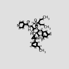 CCCC(CCC)S(=O)(=O)C[C@@H](NC(=O)c1ccncc1)C(=O)N[C@@H](Cc1cc(F)cc(F)c1)[C@H](O)CNC1(c2cccc(CC)c2)CC1